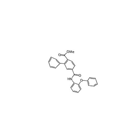 COC(=O)c1ccc(C(=O)Nc2ccccc2Oc2ccccc2)cc1-c1ccccc1